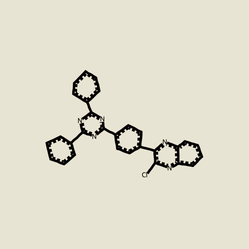 Clc1nc2ccccc2nc1-c1ccc(-c2nc(-c3ccccc3)nc(-c3ccccc3)n2)cc1